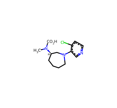 CN(C(=O)O)[C@@H]1CCCCN(c2cnccc2Cl)C1